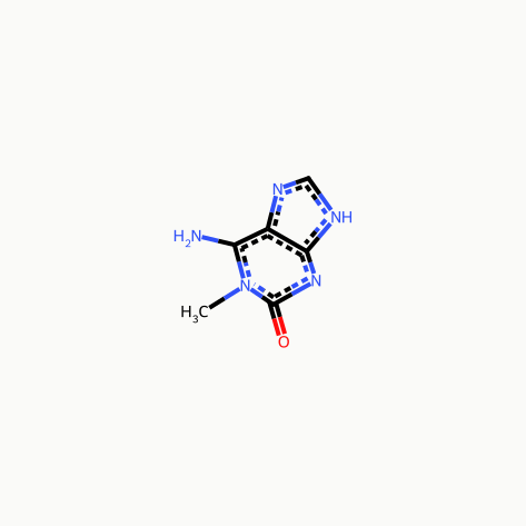 Cn1c(N)c2nc[nH]c2nc1=O